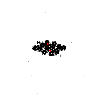 Cc1cccc(C)c1N(c1cccc(-c2cccc3c2sc2ccccc23)c1)c1cc(C2CCCCC2)c2ccc3c(N(c4cccc(-c5cccc6c5sc5ccccc56)c4)c4c(C)cccc4C)cc(C4CCCCC4)c4ccc1c2c43